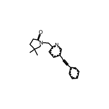 CC1(C)CCC(=O)N(Cc2ccc(C#Cc3ccccc3)cn2)C1